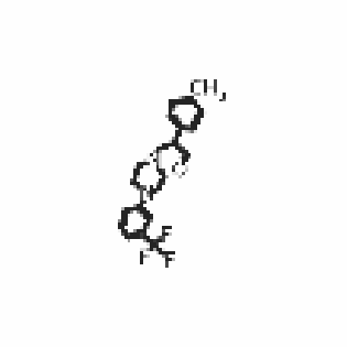 Cc1ccc(C(C=O)CN2CCN(c3cccc(C(F)(F)F)c3)CC2)cc1